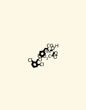 CCOC(=O)[C@@H]1OCO[C@H]1C(=O)N[C@@H](Cc1ccc(OCc2c(Cl)cccc2Cl)cc1)C(=O)O